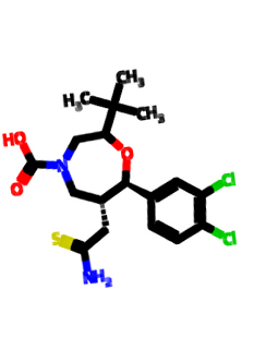 CC(C)(C)C1CN(C(=O)O)C[C@@H](CC(N)=S)[C@H](c2ccc(Cl)c(Cl)c2)O1